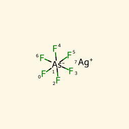 F[As-](F)(F)(F)(F)F.[Ag+]